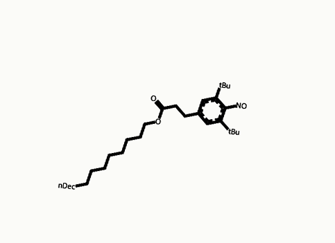 CCCCCCCCCCCCCCCCCCOC(=O)CCc1cc(C(C)(C)C)c(N=O)c(C(C)(C)C)c1